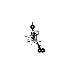 N/C(=N\C(=O)c1nc(Cl)c(NCc2ccc(I)cc2)nc1N)NCCCOc1cccc2ccccc12